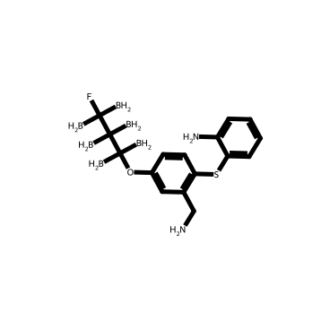 BC(B)(F)C(B)(B)C(B)(B)Oc1ccc(Sc2ccccc2N)c(CN)c1